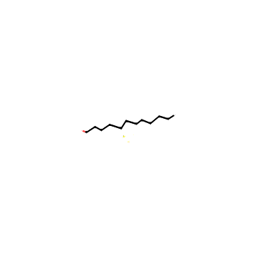 CCCCCCCCCCCCO.C[S+](C)[O-]